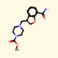 CC(C)(C)OC(=O)N1CCN(CC2COc3c(C(N)=O)cccc32)CC1